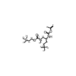 C=C(C)OC(=O)NC(CCC(C)(C)C)CN(C)C(=O)OCC[Si](C)(C)C